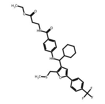 CCOC(=O)CCNC(=O)c1ccc(NC(c2cc(-c3ccc(C(F)(F)F)cc3)oc2CSC)C2CCCCC2)cc1